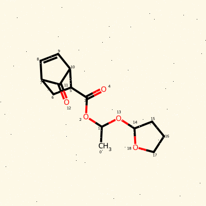 CC(OC(=O)C1CC2C=CC1C2=O)OC1CCCO1